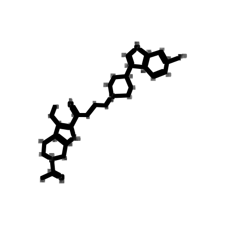 CCc1c(C(=O)CCCN2CCC(c3coc4cc(F)ccc34)CC2)sc2c1CCN(C(C)=O)C2